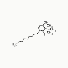 CCCCCCCCCc1ccc(O)c(C(C)(C)C)c1I